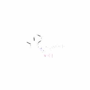 C=C(C)c1ccccc1CN(CO)CCS(=O)(=O)O